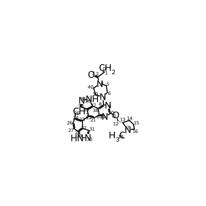 C=CC(=O)N1CCN(c2nc(OC[C@@H]3CCCN3C)nc3cc(-c4c(C)ccc5[nH]ncc45)c4cn[nH]c4c23)CC1